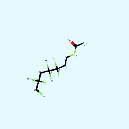 CC(=O)SCCC(F)(F)C(F)(F)CC(F)(F)CF